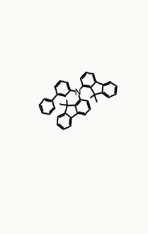 CC1(C)c2ccccc2-c2cccc(N(c3cccc(-c4ccccc4)c3)c3cccc4c3C(C)(C)c3ccccc3-4)c21